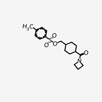 Cc1ccc(S(=O)(=O)OCC2CCC(C(=O)N3CCC3)CC2)cc1